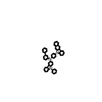 c1ccc(-c2cccc(N(c3ccc(-n4c5ccccc5c5cc6ccccc6cc54)cc3)c3ccc4c(c3)c3ccccc3n4-c3ccccc3)c2)cc1